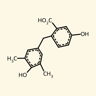 Cc1cc(Cc2ccc(O)cc2C(=O)O)cc(C)c1O